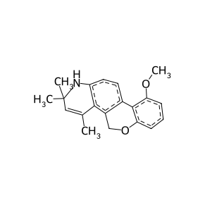 COc1cccc2c1-c1ccc3c(c1CO2)C(C)=CC(C)(C)N3